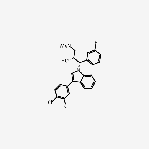 CNC[C@@H](O)[C@H](c1cccc(F)c1)n1cc(-c2ccc(Cl)c(Cl)c2)c2ccccc21